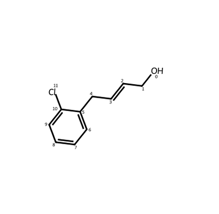 OCC=CCc1ccccc1Cl